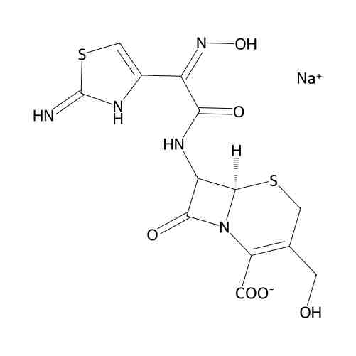 N=c1[nH]c(/C(=N/O)C(=O)NC2C(=O)N3C(C(=O)[O-])=C(CO)CS[C@H]23)cs1.[Na+]